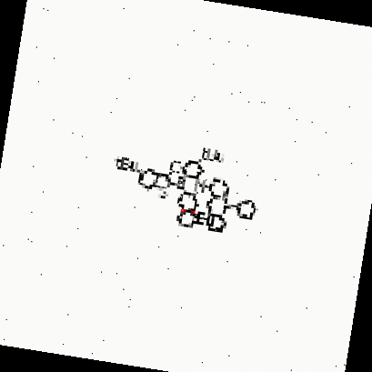 CC(C)(C)c1ccc2c(c1)N(c1cccc3c(-c4ccccc4)c4cccc(-c5ccccc5)c4cc13)c1cc(C(C)(C)C)cc3c1B2c1sc2ccc(C(C)(C)C)cc2c1O3